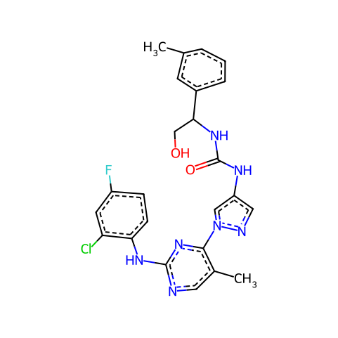 Cc1cccc(C(CO)NC(=O)Nc2cnn(-c3nc(Nc4ccc(F)cc4Cl)ncc3C)c2)c1